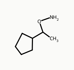 CC(ON)C1CCCC1